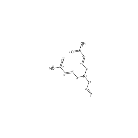 C=CCN(CC=CC(=O)O)CC=CC(=O)O